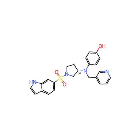 O=S(=O)(c1ccc2cc[nH]c2c1)N1CC[C@H](N(Cc2cccnc2)c2ccc(O)cc2)C1